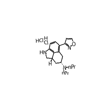 CCCN(CCC)[C@H]1Cc2c(-c3ccon3)ccc3c2[C@@H](CN3)C1.Cl.Cl